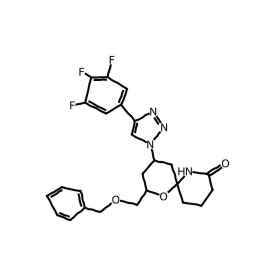 O=C1CCCC2(CC(n3cc(-c4cc(F)c(F)c(F)c4)nn3)CC(COCc3ccccc3)O2)N1